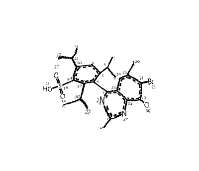 Cc1nc(-c2c(C(C)C)cc(C(C)C)c(S(=O)(=O)O)c2C(C)C)c2cc(I)c(Br)c(Cl)c2n1